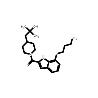 CCCCOc1cccc2cc(C(=O)N3CCC(CC(C)(C)O)CC3)[nH]c12